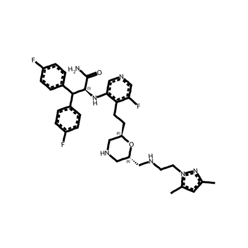 Cc1cc(C)n(CCNC[C@@H]2CNC[C@@H](CCc3c(F)cncc3N[C@H](C(N)=O)C(c3ccc(F)cc3)c3ccc(F)cc3)O2)n1